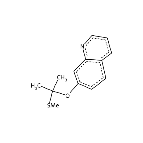 CSC(C)(C)Oc1ccc2cccnc2c1